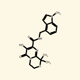 Cn1ccc2c(CNC(=O)c3nc4n(c(=O)c3O)CCOC4(C)C)cccc21